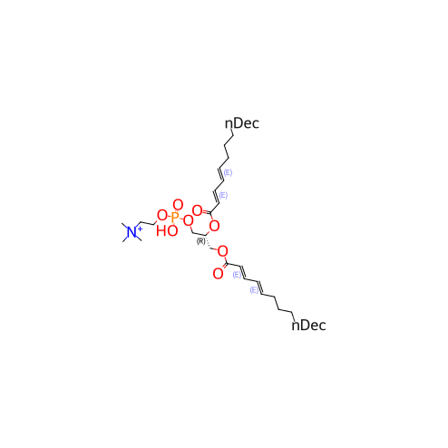 CCCCCCCCCCCCC/C=C/C=C/C(=O)OC[C@H](COP(=O)(O)OCC[N+](C)(C)C)OC(=O)/C=C/C=C/CCCCCCCCCCCCC